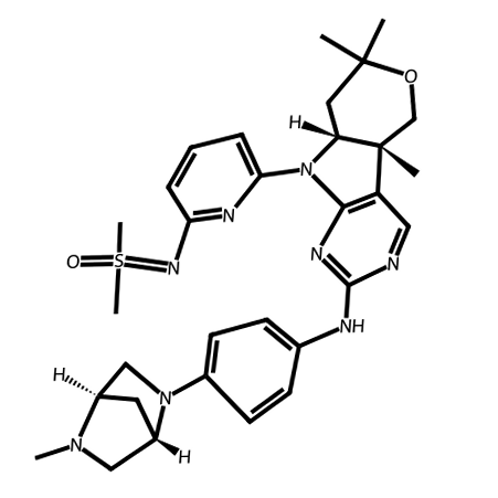 CN1C[C@@H]2C[C@@H]1CN2c1ccc(Nc2ncc3c(n2)N(c2cccc(N=S(C)(C)=O)n2)[C@@H]2CC(C)(C)OC[C@]32C)cc1